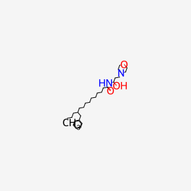 CCCCC(CCCCCCCCCC(=O)NC(O)CCN1CCOCC1)Cc1ccccc1